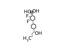 CCCC(O)c1ccc(-c2ccc(B(O)O)c(F)c2F)cc1